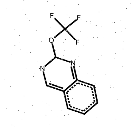 FC(F)(F)OC1[N]C=c2ccccc2=N1